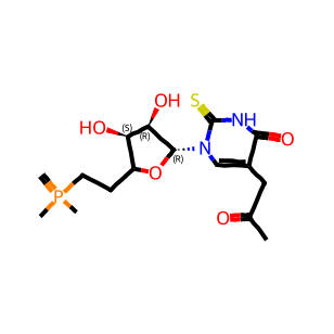 C=P(C)(C)CCC1O[C@@H](n2cc(CC(C)=O)c(=O)[nH]c2=S)[C@H](O)[C@@H]1O